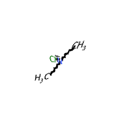 CCCCCCCC[N](CCCCCCCC)[Ti][Cl]